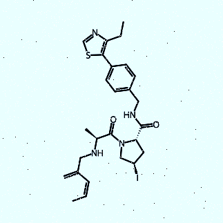 C=C(/C=C\C)CN[C@@H](C)C(=O)N1C[C@H](I)C[C@H]1C(=O)NCc1ccc(-c2scnc2CC)cc1